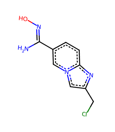 N/C(=N\O)c1ccc2nc(CCl)cn2c1